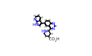 O=C(O)C1CCNC(c2ncnc3ccc(-c4c[nH]c5ncccc45)cc23)C1